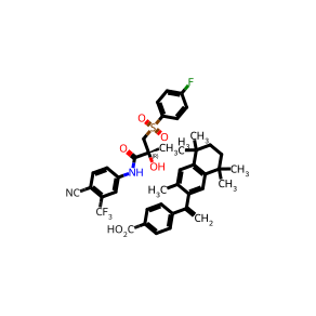 C=C(c1ccc(C(=O)O)cc1)c1cc2c(cc1C)C(C)(C)CCC2(C)C.C[C@](O)(CS(=O)(=O)c1ccc(F)cc1)C(=O)Nc1ccc(C#N)c(C(F)(F)F)c1